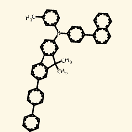 Cc1cccc(N(c2ccc(-c3cccc4ccccc34)cc2)c2ccc3c(c2)C(C)(C)c2cc(-c4ccc(-c5ccccc5)cc4)ccc2-3)c1